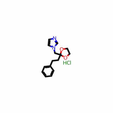 Cl.c1ccc(CCC2(Cn3ccnc3)OCCO2)cc1